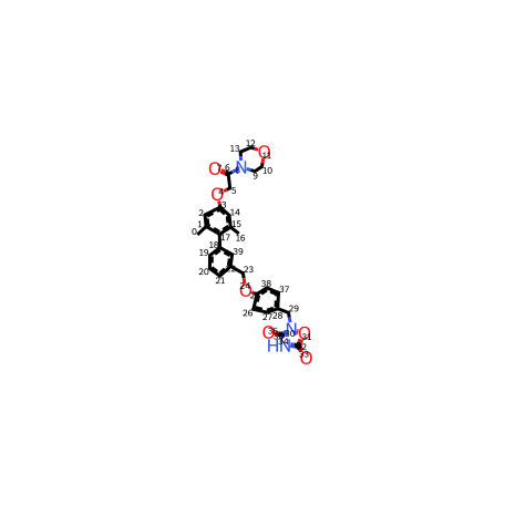 Cc1cc(OCC(=O)N2CCOCC2)cc(C)c1-c1cccc(COc2ccc(Cn3oc(=O)[nH]c3=O)cc2)c1